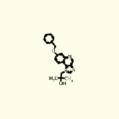 CC(C)(O)Cn1cnc2cnc3cc(OCc4ccccc4)ccc3c21